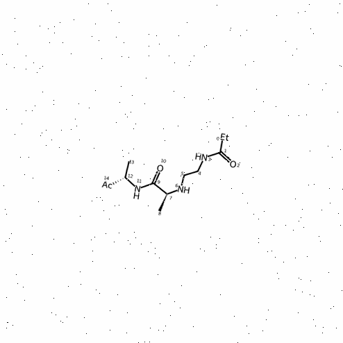 CCC(=O)NCCN[C@@H](C)C(=O)N[C@@H](C)C(C)=O